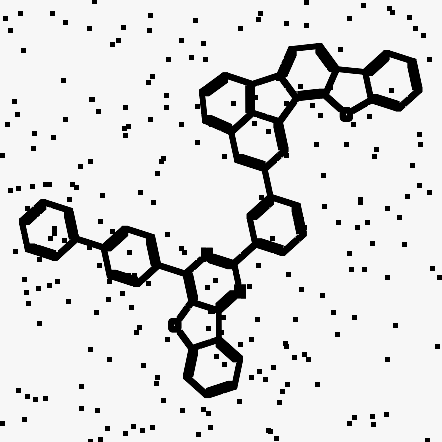 c1ccc(-c2ccc(-c3nc(-c4cccc(-c5cc6c7c(cccc7c5)-c5ccc7c(oc8ccccc87)c5-6)c4)nc4c3oc3ccccc34)cc2)cc1